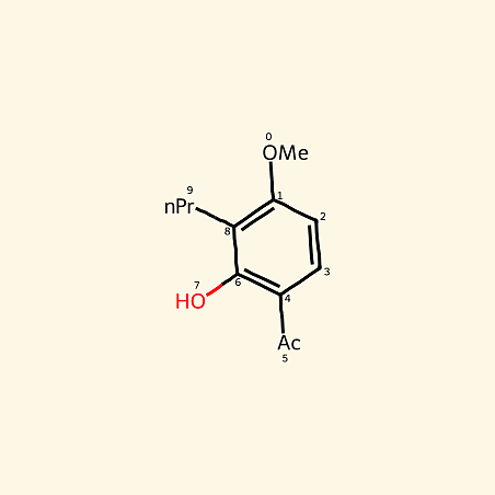 [CH2]Oc1ccc(C(C)=O)c(O)c1CCC